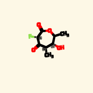 CC1OC(=O)[C@@H](F)C(=O)[C@@H](C)[C@H]1O